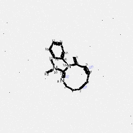 C=C1/C=C\C=C/CC/N=C(/N(C)C)N1c1ccccc1